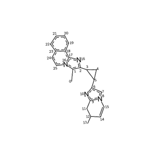 Cc1c(C2CC2c2cn3c(n2)CC(C)C=C3)nc2c3ccccc3ccn12